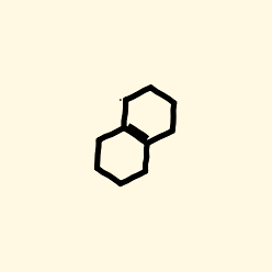 [CH]1CCCC2=C1CCCC2